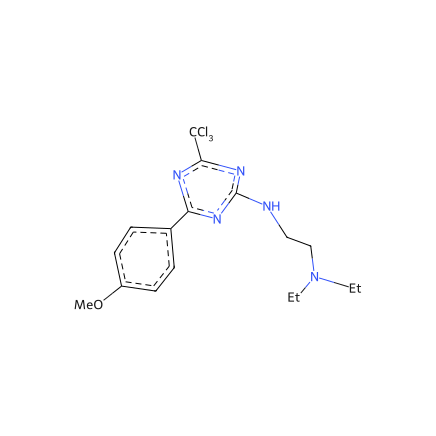 CCN(CC)CCNc1nc(-c2ccc(OC)cc2)nc(C(Cl)(Cl)Cl)n1